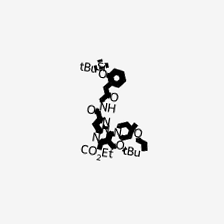 C=CCOC1(C)CCN(c2c([C@H](OC(C)(C)C)C(=O)OCC)c(C)nc3cc(C(=O)NCC(=O)Cc4ccccc4O[Si](C)(C)C(C)(C)C)nn23)CC1